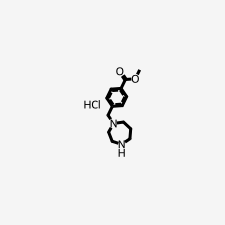 COC(=O)c1ccc(CN2CCCNCC2)cc1.Cl